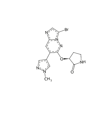 Cn1cc(-c2cc3ncc(Br)n3nc2O[C@H]2CCNC2=O)cn1